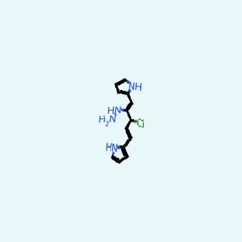 NNC(=Cc1ccc[nH]1)C(Cl)C=Cc1ccc[nH]1